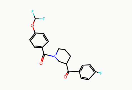 O=C(c1ccc(F)cc1)C1CCCN(C(=O)c2ccc(OC(F)F)cc2)C1